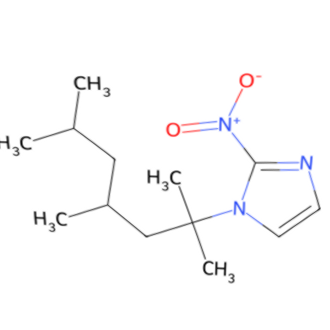 CC(C)CC(C)CC(C)(C)n1ccnc1[N+](=O)[O-]